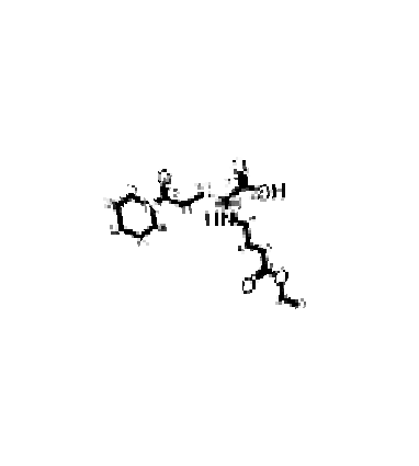 CCOC(=O)CCCN[C@H](CCC(=O)N1CCCCC1)C(=O)O